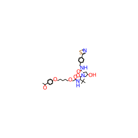 CC(=O)c1ccc(OCCCCCOCC(=O)N[C@H](C(=O)N2C[C@H](O)C[C@H]2C(=O)NCc2ccc(-c3cncs3)cc2)C(C)(C)C)cc1